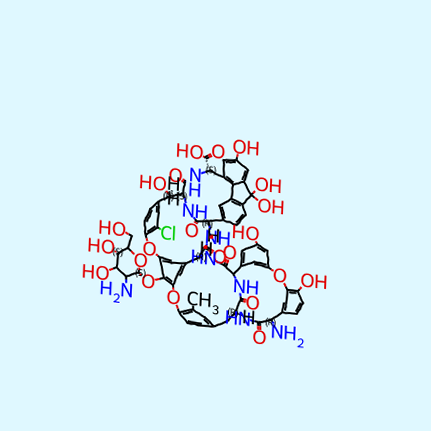 Cc1cc2ccc1Oc1cc3cc(c1O[C@@H]1OC(CO)[C@@H](O)C(O)C1N)Oc1ccc(cc1Cl)[C@@H](O)[C@@H]1NC(=O)[C@H](NC(=O)[C@@H]3NC(=O)C3NC(=O)[C@@H](C2)NC(=O)[C@H](N)c2ccc(O)c(c2)Oc2cc(O)cc3c2)c2ccc3c(c2)-c2c(cc(O)cc2C3(O)O)[C@@H](C(=O)O)NC1=O